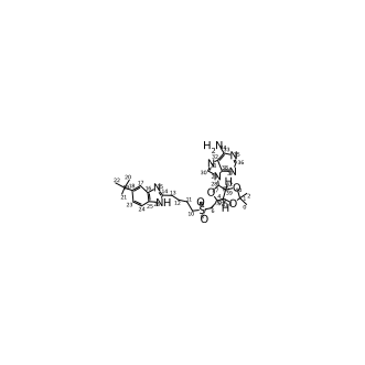 CC1(C)O[C@@H]2[C@@H](CS(=O)(=O)CCCCc3nc4cc(C(C)(C)C)ccc4[nH]3)OC(n3cnc4c(N)ncnc43)[C@@H]2O1